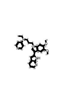 CCN(CCCn1cc(-c2cc3cccnc3[nH]2)c2cc(OC)c(OC)cc21)c1ccncc1